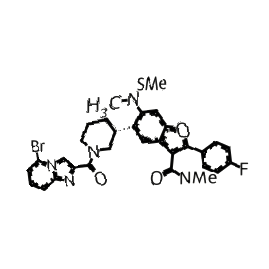 CNC(=O)c1c(-c2ccc(F)cc2)oc2cc(N(C)SC)c([C@H]3CCCN(C(=O)c4cn5c(Br)cccc5n4)C3)cc12